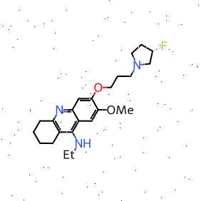 CCNc1c2c(nc3cc(OCCCN4CC[C@H](F)C4)c(OC)cc13)CCCC2